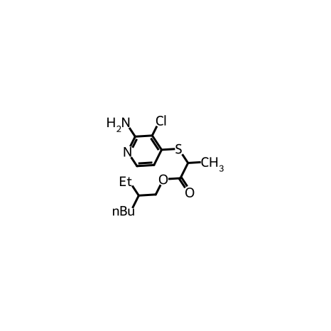 CCCCC(CC)COC(=O)C(C)Sc1ccnc(N)c1Cl